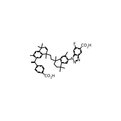 C=C(c1ccc(C(=O)O)cc1)c1cc2c(cc1C)C(C)(C)C=CC2(C)CCC1(C)CCC(C)(C)c2cc(-n3nnc4cc(C(=O)O)c(F)cc43)c(C)cc21